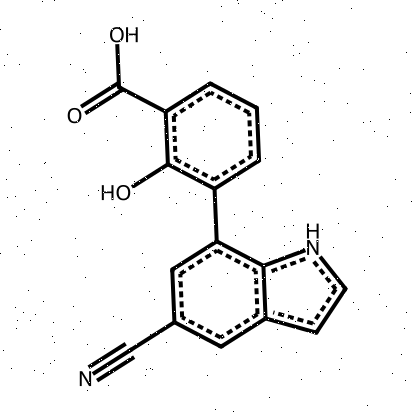 N#Cc1cc(-c2cccc(C(=O)O)c2O)c2[nH]ccc2c1